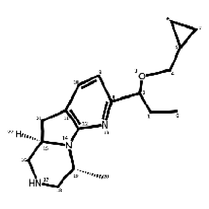 CCC(OCC1CC1)c1ccc2c(n1)N1[C@@H](CNC[C@H]1C)C2